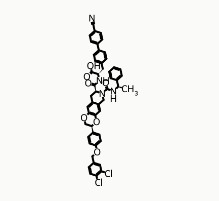 C[C@@H](NC(=O)N1Cc2cc3c(cc2C[C@H]1C(=O)N[C@@H](Cc1ccc(-c2ccc(C#N)cc2)cc1)C(=O)O)OC[C@H](c1ccc(OCc2ccc(Cl)c(Cl)c2)cc1)O3)c1ccccc1